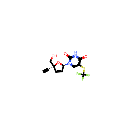 C#C[C@@]1(CO)C=C[C@H](n2cc(SC(F)(F)F)c(=O)[nH]c2=O)O1